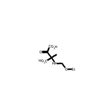 CCOCPC(C)(C(=O)O)C(=O)C(=O)O